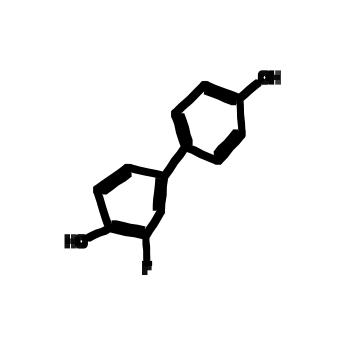 Oc1ccc(-c2ccc(O)c(F)c2)cc1